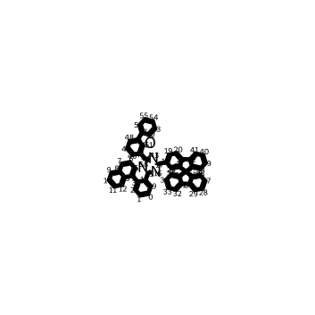 c1ccc(-c2cccc3ccccc23)c(-c2nc(-c3ccc4c(c3)C3(c5ccccc5-c5ccccc53)c3ccccc3-4)nc(-c3cccc4c3oc3ccccc34)n2)c1